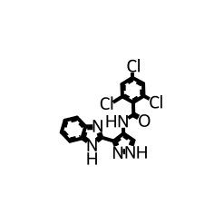 O=C(Nc1c[nH]nc1-c1nc2ccccc2[nH]1)c1c(Cl)cc(Cl)cc1Cl